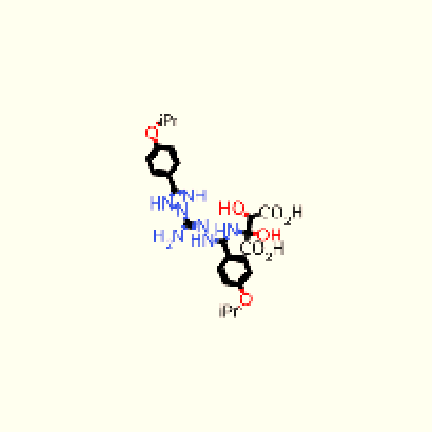 CC(C)Oc1ccc(C2NN(C(N)=NNC(NC(O)(C(=O)O)C(O)C(=O)O)c3ccc(OC(C)C)cc3)N2)cc1